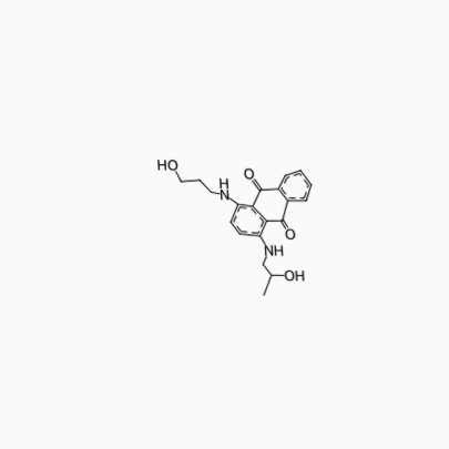 CC(O)CNc1ccc(NCCCO)c2c1C(=O)c1ccccc1C2=O